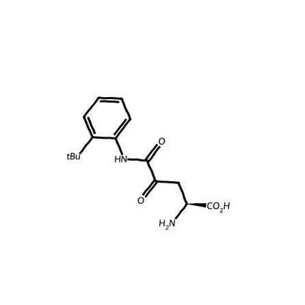 CC(C)(C)c1ccccc1NC(=O)C(=O)C[C@H](N)C(=O)O